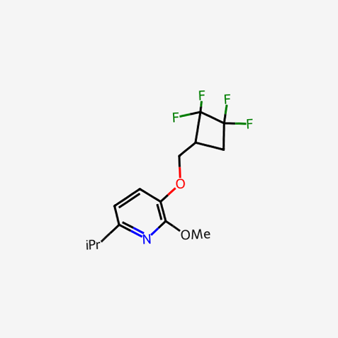 COc1nc(C(C)C)ccc1OCC1CC(F)(F)C1(F)F